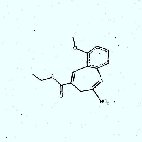 CCOC(=O)C1=Cc2c(cccc2OC)N=C(N)C1